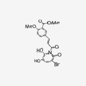 COC(=O)c1cc(/C=C/C(=O)n2c(O)c(O)cc(Br)c2=O)ccc1OC